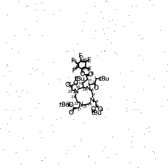 CC(C)(C)CC(=O)CN1CCN(CC(=O)OC(C)(C)C)CCN(CC(=O)OC(C)(C)C)CCN(CC(=O)OC(C)(C)C)CC1CCC(=O)Oc1c(F)c(F)c(F)c(F)c1F